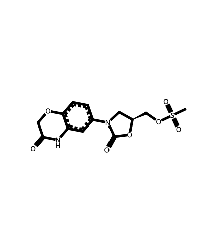 CS(=O)(=O)OC[C@@H]1CN(c2ccc3c(c2)NC(=O)CO3)C(=O)O1